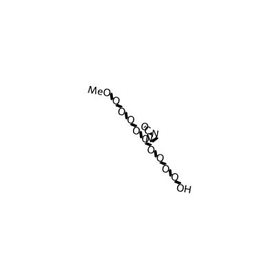 COCCOCCOCCOCCOCCOCCOCCOCCOCCOCCO.O=C=C1N=CC=N1